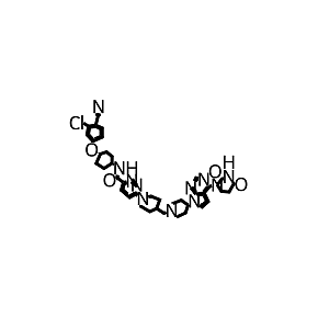 N#Cc1ccc(O[C@H]2CC[C@H](NC(=O)c3ccc(N4CCC(CN5CCC(n6ccc7c(N8CCC(=O)NC8=O)ncnc76)CC5)CC4)nn3)CC2)cc1Cl